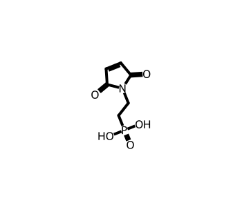 O=C1C=CC(=O)N1CCP(=O)(O)O